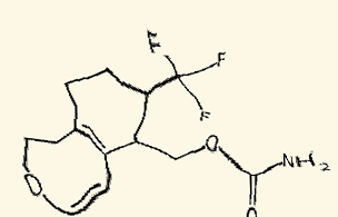 NC(=O)OCC1C2=C(CCC1C(F)(F)F)COC=C2